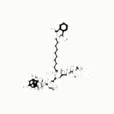 CC(C)C[C@H](NC(=O)[C@H](CCCNC(=N)N[N+](=O)[O-])NC(=O)CCCCCCCCCN1C(=O)c2ccccc2C1=O)B1O[C@@H]2C[C@@H]3C[C@@H](C3(C)C)[C@]2(C)O1